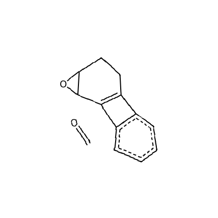 C=O.c1ccc2c(c1)C1=C2C2OC2CC1